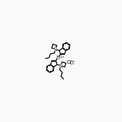 CCCC[Si]1(C2[C]([Zr+2][C]3=Cc4ccccc4C3[Si]3(CCCC)CCC3)=Cc3ccccc32)CCC1.[Cl-].[Cl-]